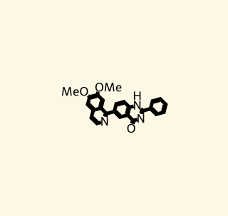 COc1cc2ccnc(-c3ccc4[nH]c(-c5ccccc5)nc(=O)c4c3)c2cc1OC